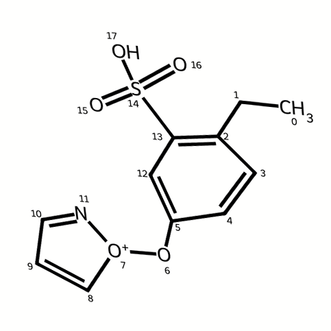 CCc1ccc(O[o+]2cccn2)cc1S(=O)(=O)O